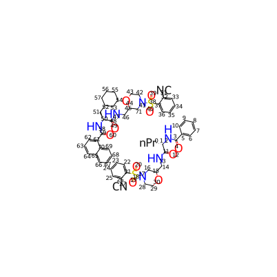 CCC[C@H](NC(=O)c1ccccc1)C(=O)NCC1CN(S(=O)(=O)c2ccccc2C#N)CCO1.N#Cc1ccccc1S(=O)(=O)N1CCOC(CNC(=O)[C@H](CC2CCCCC2)NC(=O)c2cccc3ccccc23)C1